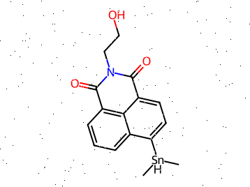 [CH3][SnH]([CH3])[c]1ccc2c3c(cccc13)C(=O)N(CCO)C2=O